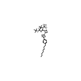 CCCCCCCCc1ccc(-c2noc([C@@H]3CCN3/C(=N/C(=O)OC(C)(C)C)N(C(=O)O)C(C)(C)C)n2)cc1